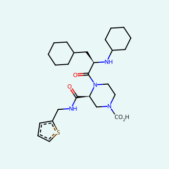 O=C(NCc1cccs1)[C@@H]1CN(C(=O)O)CCN1C(=O)[C@@H](CC1CCCCC1)NC1CCCCC1